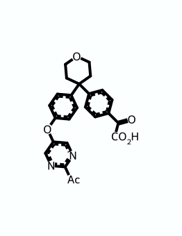 CC(=O)c1ncc(Oc2ccc(C3(c4ccc(C(=O)C(=O)O)cc4)CCOCC3)cc2)cn1